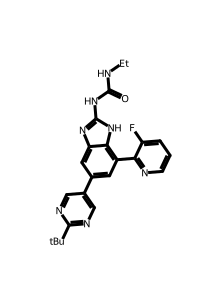 CCNC(=O)Nc1nc2cc(-c3cnc(C(C)(C)C)nc3)cc(-c3ncccc3F)c2[nH]1